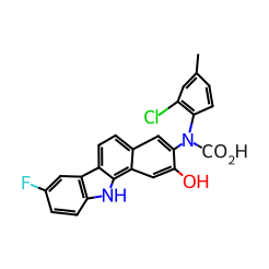 Cc1ccc(N(C(=O)O)c2cc3ccc4c5cc(F)ccc5[nH]c4c3cc2O)c(Cl)c1